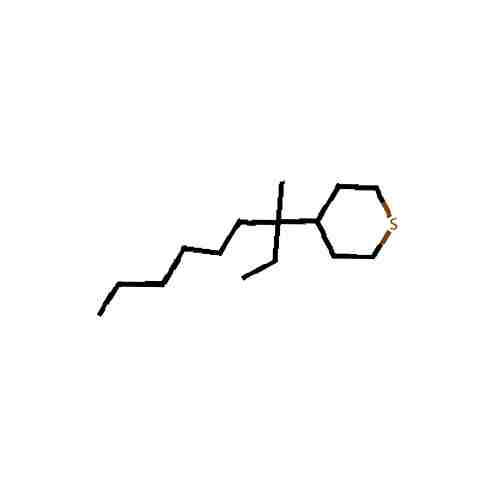 CCCCCCC(C)(CC)C1CCSCC1